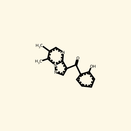 Cc1cnc2c(C(=O)c3ccccc3O)cnn2c1C